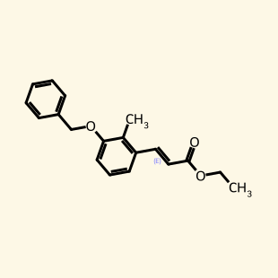 CCOC(=O)/C=C/c1cccc(OCc2ccccc2)c1C